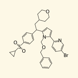 O=S(=O)(c1ccc(C(CC2CCOCC2)c2ccc(-c3ccc(Br)cn3)n2COCc2ccccc2)cc1)C1CC1